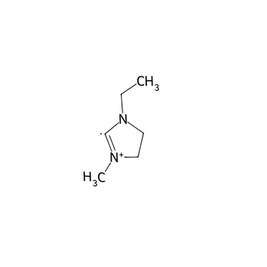 CCN1[C]=[N+](C)CC1